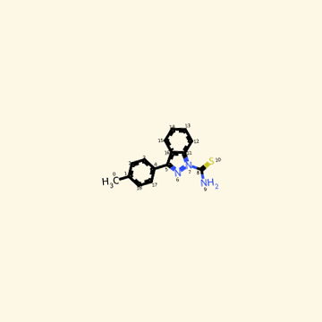 Cc1ccc(-c2nn(C(N)=S)c3ccccc23)cc1